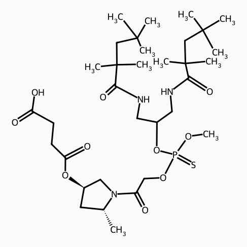 COP(=S)(OCC(=O)N1C[C@H](OC(=O)CCC(=O)O)C[C@H]1C)OC(CNC(=O)C(C)(C)CC(C)(C)C)CNC(=O)C(C)(C)CC(C)(C)C